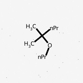 [CH2]CCC(C)(C)OCCC